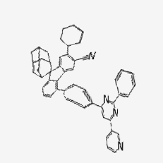 N#Cc1cc2c(cc1C1CCCCC1)C1(c3cccc(-c4ccc(-c5cc(-c6cccnc6)nc(-c6ccccc6)n5)cc4)c3-2)C2CC3CC(C2)CC1C3